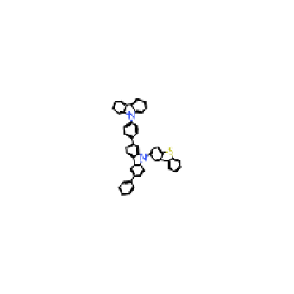 c1ccc(-c2ccc3c(c2)c2ccc(-c4ccc(-n5c6ccccc6c6ccccc65)cc4)cc2n3-c2ccc3sc4ccccc4c3c2)cc1